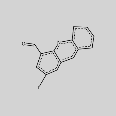 O=Cc1cc(I)cc2cc3ccccc3nc12